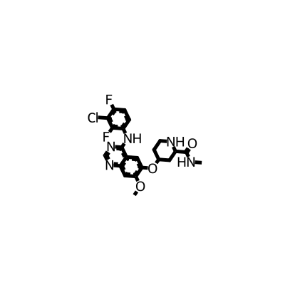 CNC(=O)C1CC(Oc2cc3c(Nc4ccc(F)c(Cl)c4F)ncnc3cc2OC)CCN1